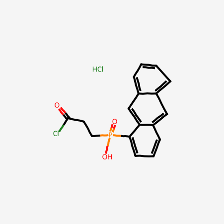 Cl.O=C(Cl)CCP(=O)(O)c1cccc2cc3ccccc3cc12